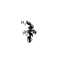 CN1CCC(Oc2cnc(C3=CNC(N)(c4ccnc(-c5cnn(S(=O)(=O)C6CC6)c5)n4)C=C3NC3CCC(F)CC3)cn2)CC1